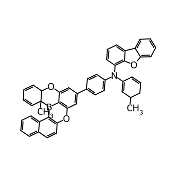 CC1C=C(N(c2ccc(-c3cc4c5c(c3)OC3C=CC=CC3(C)B5c3c(ccc5ccccc35)O4)cc2)c2cccc3c2oc2ccccc23)C=CC1